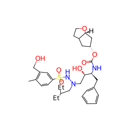 CCC(CC)CN(C[C@@H](O)[C@H](Cc1ccccc1)NC(=O)O[C@@H]1CC2CCO[C@@H]2C1)NS(=O)(=O)c1ccc(C)c(CO)c1